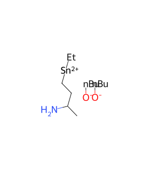 CCCC[O-].CCCC[O-].C[CH2][Sn+2][CH2]CC(C)N